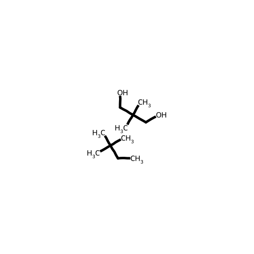 CC(C)(CO)CO.CCC(C)(C)C